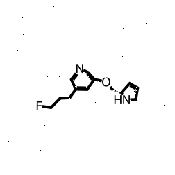 FCCCc1cncc(OC[C@@H]2C=CCN2)c1